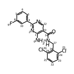 Nc1nc(-c2cccc(F)c2)ncc1C(=O)NCc1c(Cl)cccc1Cl